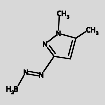 BN=Nc1cc(C)n(C)n1